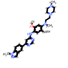 CCOc1cc(N(C)CCN2CCN(C)CC2)c(NC)cc1Nc1cc(-c2ccc3c(cnn3C)c2)ncn1